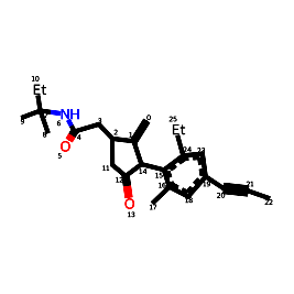 C=C1C(CC(=O)NC(C)(C)CC)CC(=O)C1c1c(C)cc(C#CC)cc1CC